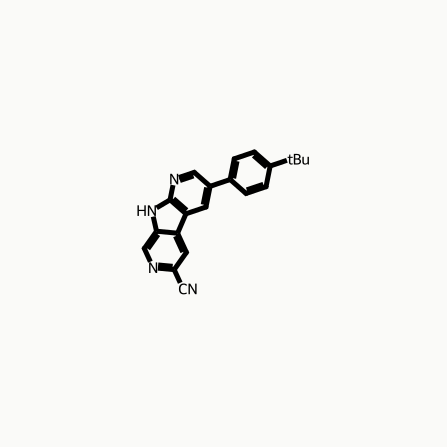 CC(C)(C)c1ccc(-c2cnc3[nH]c4cnc(C#N)cc4c3c2)cc1